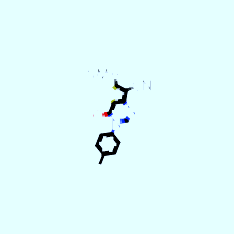 CSc1sc2c(=O)n(-c3ccc(C)cc3)cnc2c1C#N